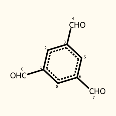 O=Cc1cc(C=O)cc(C=O)c1